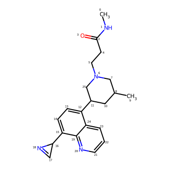 CNC(=O)CCN1CC(C)CC(c2ccc(C3C=N3)c3ncccc23)C1